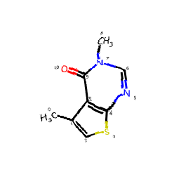 Cc1csc2ncn(C)c(=O)c12